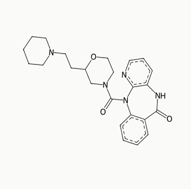 O=C1Nc2cccnc2N(C(=O)N2CCOC(CCN3CCCCC3)C2)c2ccccc21